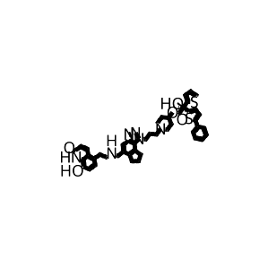 O=C(OC1CCN(CCCn2nnc3cc(CNCCc4ccc(O)c5[nH]c(=O)ccc45)c4c(c32)CCC4)CC1)[C@](O)(c1cccs1)c1ccc(-c2ccccc2)s1